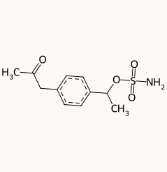 CC(=O)Cc1ccc(C(C)OS(N)(=O)=O)cc1